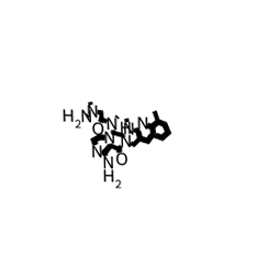 Cc1cccc2cc(CNC(=O)c3nccnc3N)c(N(C)CCN(C)C(=O)CN(C)N)nc12